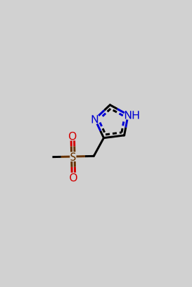 CS(=O)(=O)Cc1c[nH]cn1